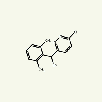 Cc1cccc(C)c1C(C#N)c1ccc(Cl)nn1